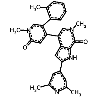 Cc1cc(-c2cc3c(-c4cc(=O)n(C)cc4-c4ccccc4C)cn(C)c(=O)c3[nH]2)cc(C)n1